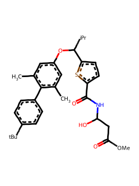 COC(=O)CC(O)NC(=O)c1ccc(C(Oc2cc(C)c(-c3ccc(C(C)(C)C)cc3)c(C)c2)C(C)C)s1